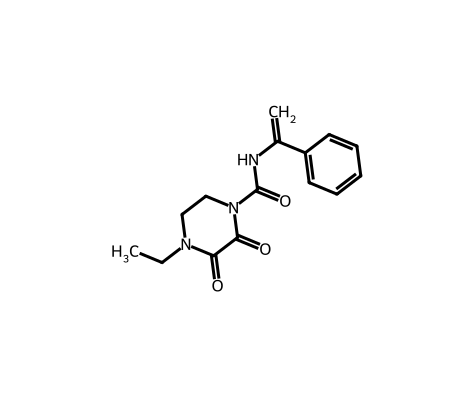 C=C(NC(=O)N1CCN(CC)C(=O)C1=O)c1ccccc1